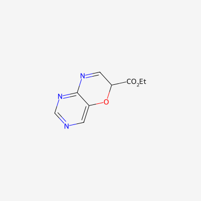 CCOC(=O)C1C=Nc2ncncc2O1